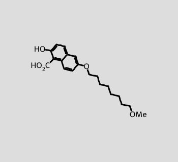 COCCCCCCCCOc1ccc2c(C(=O)O)c(O)ccc2c1